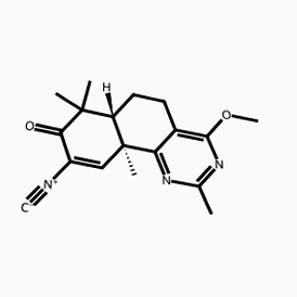 [C-]#[N+]C1=C[C@]2(C)c3nc(C)nc(OC)c3CC[C@H]2C(C)(C)C1=O